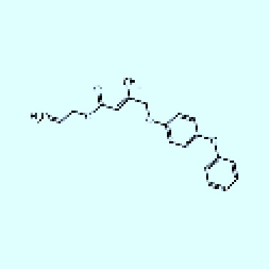 C=CCOC(=O)C=C(C)COc1ccc(Oc2ccccc2)cc1